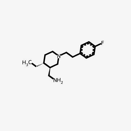 CC[C@@H]1CCN(CCc2ccc(F)cc2)C[C@H]1CN